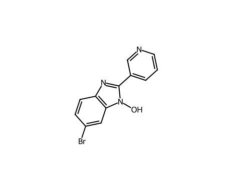 On1c(-c2cccnc2)nc2ccc(Br)cc21